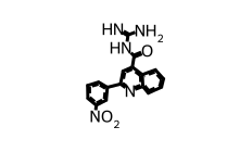 N=C(N)NC(=O)c1cc(-c2cccc([N+](=O)[O-])c2)nc2ccccc12